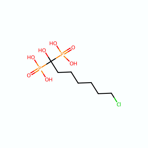 O=P(O)(O)C(O)(CCCCCCCl)P(=O)(O)O